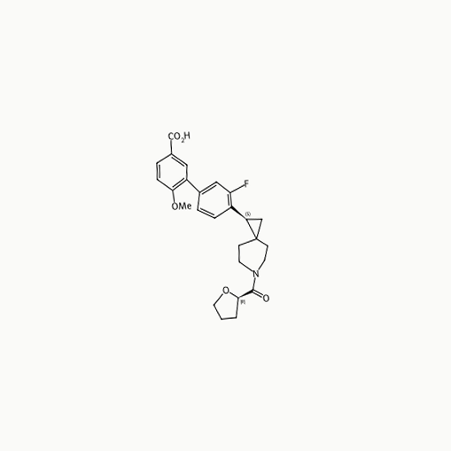 COc1ccc(C(=O)O)cc1-c1ccc([C@H]2CC23CCN(C(=O)[C@H]2CCCO2)CC3)c(F)c1